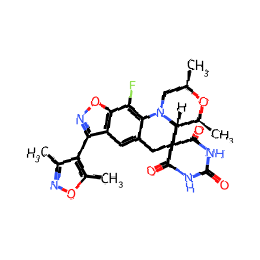 Cc1noc(C)c1-c1noc2c(F)c3c(cc12)CC1(C(=O)NC(=O)NC1=O)[C@H]1[C@H](C)O[C@H](C)CN31